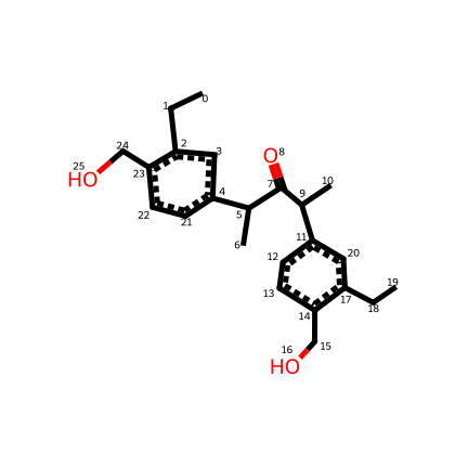 CCc1cc(C(C)C(=O)C(C)c2ccc(CO)c(CC)c2)ccc1CO